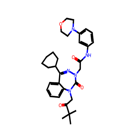 CC(C)(C)C(=O)CN1C(=O)N(CC(=O)Nc2cccc(N3CCOCC3)c2)N=C(C2CCCCC2)c2ccccc21